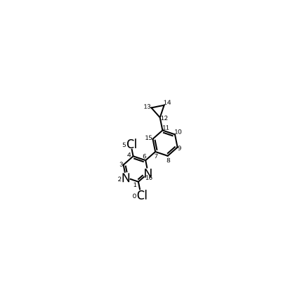 Clc1ncc(Cl)c(-c2cccc(C3CC3)c2)n1